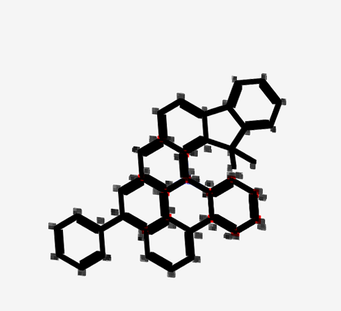 CC1(C)c2ccccc2-c2cccc(N(c3ccc(-c4ccccc4)cc3)c3ccccc3-c3ccccc3-c3ccccc3-c3ccccc3)c21